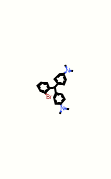 CN(C)c1ccc(C(c2ccc(N(C)C)cc2)c2ccccc2Br)cc1